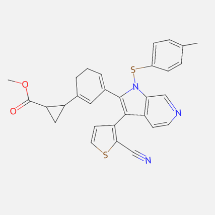 COC(=O)C1CC1C1=CC(c2c(-c3ccsc3C#N)c3ccncc3n2Sc2ccc(C)cc2)=CCC1